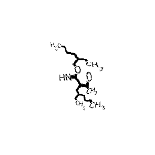 CCCCC(CC)COC(=N)C(CC(CC)CCCC)C(C)=O